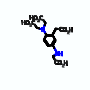 O=C(O)CNc1ccc(N(CC(=O)O)CC(=O)O)c(CC(=O)O)c1